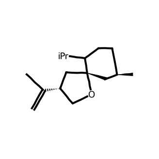 C=C(C)[C@H]1CO[C@]2(C[C@H](C)CCC2C(C)C)C1